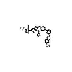 N#Cc1ccc(COc2cccc(C3CCN(Cc4nc5cc(-c6nnc(C(F)(F)F)[nH]6)nnc5n4C[C@@H]4CCO4)CC3)n2)c(F)c1